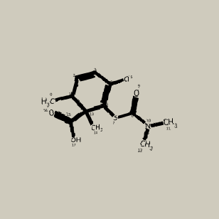 CC1C=CC(Cl)=C(SC(=O)N(C)C)C1(C)C(=O)O